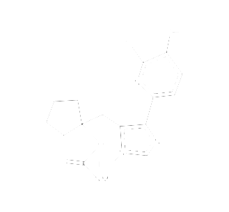 CNC(=O)OC1(Cc2c(-c3ccc(O)c(C)n3)ncn2C)CCCC1